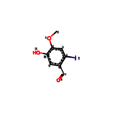 COc1cc(I)c(C=O)cc1O